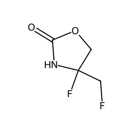 O=C1NC(F)(CF)CO1